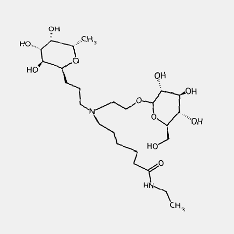 CCNC(=O)CCCCCN(CCC[C@@H]1O[C@@H](C)[C@@H](O)[C@@H](O)[C@@H]1O)CCOC1O[C@H](CO)[C@@H](O)[C@H](O)[C@H]1O